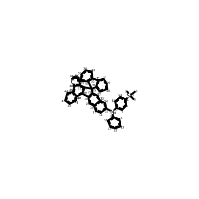 C[Si](C)(C)c1ccc(N(c2ccccc2)c2ccc3cc4c(cc3c2)C2(c3ccccc3-c3ccccc32)c2c-4c3ccccc3c3ccccc23)cc1